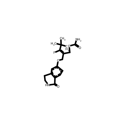 CC(C)(C)C(F)=C(COC(N)=O)COc1ccc2c(c1)CCNC2=O